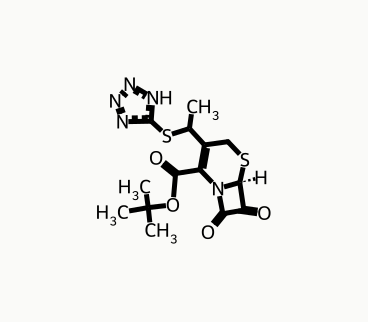 CC(Sc1nnn[nH]1)C1=C(C(=O)OC(C)(C)C)N2C(=O)C(=O)[C@@H]2SC1